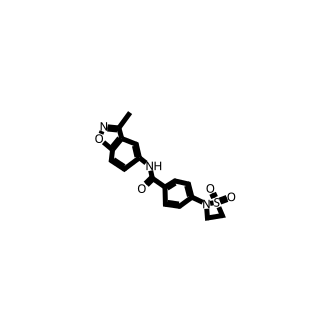 Cc1noc2ccc(NC(=O)c3ccc(N4CCS4(=O)=O)cc3)cc12